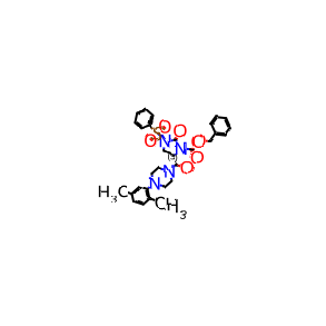 Cc1ccc(C)c(N2CCN(C(=O)[C@@H]3CN(S(=O)(=O)c4ccccc4)C(=O)N3C(=O)OCc3ccccc3)CC2)c1